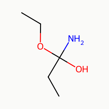 CCOC(N)(O)CC